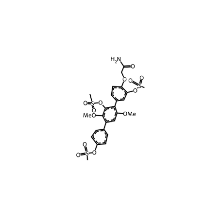 COc1cc(-c2ccc(OS(C)(=O)=O)cc2)c(OC)c(OS(C)(=O)=O)c1-c1ccc(OCC(N)=O)c(OS(C)(=O)=O)c1